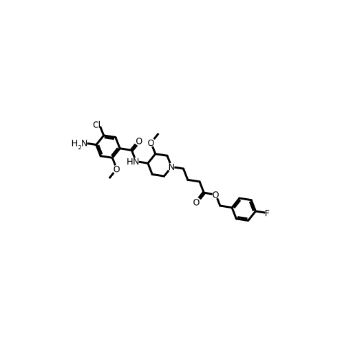 COc1cc(N)c(Cl)cc1C(=O)NC1CCN(CCCC(=O)OCc2ccc(F)cc2)CC1OC